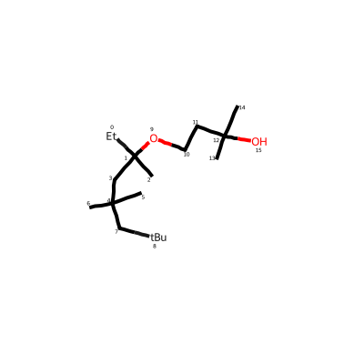 CCC(C)(CC(C)(C)CC(C)(C)C)OCCC(C)(C)O